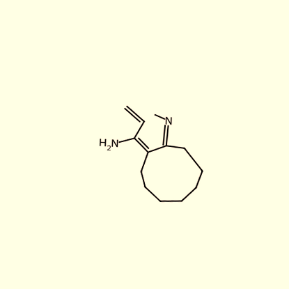 C=C/C(N)=C1/CCCCCCC/C1=N/C